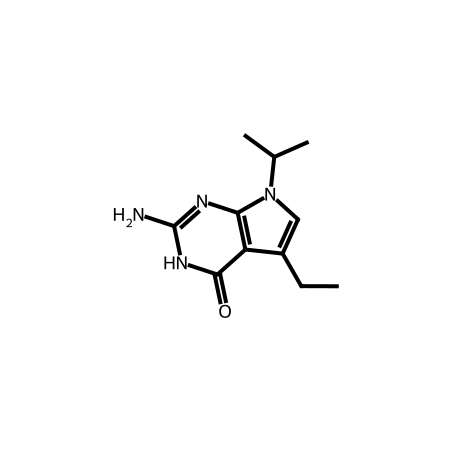 CCc1cn(C(C)C)c2nc(N)[nH]c(=O)c12